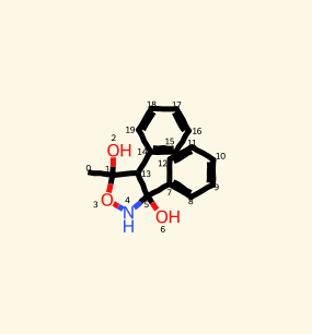 CC1(O)ONC(O)(c2ccccc2)C1c1ccccc1